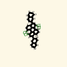 Clc1ccc2c(-c3ccc4ccccc4c3)cc(Cl)c3c4c(Cl)ccc5c(-c6ccc7ccccc7c6)cc(Cl)c(c1c23)c54